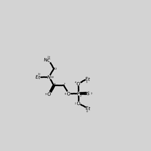 CCOP(=S)(OCC)OCC(=O)N(CC)CC#N